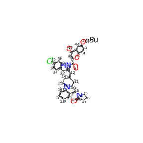 CCCCOc1ccc2oc(C(=O)N[C@@H](C=C3CCN(c4ccccc4CN4CCCC4=O)CC3)Cc3ccc(Cl)cc3)cc(=O)c2c1